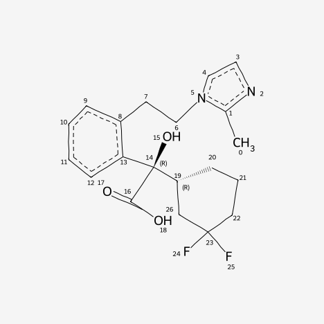 Cc1nccn1CCc1ccccc1[C@@](O)(C(=O)O)[C@@H]1CCCC(F)(F)C1